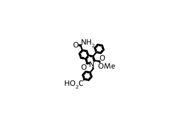 COC(=O)c1c(-c2ccccc2)c2cc(C(N)=O)ccc2c(=O)n1Cc1ccc(C(=O)O)cc1